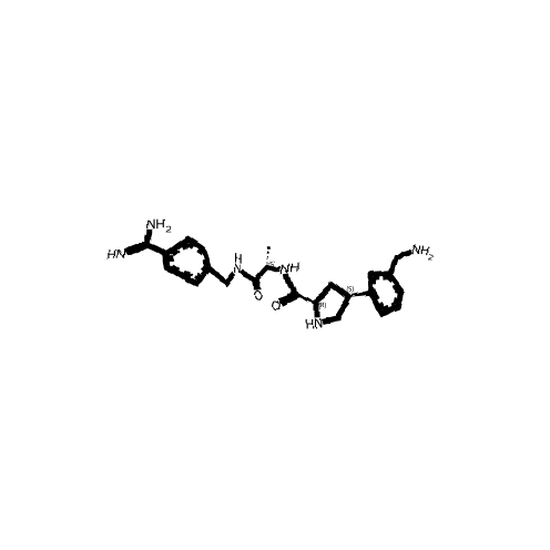 C[C@H](NC(=O)[C@H]1C[C@@H](c2cccc(CN)c2)CN1)C(=O)NCc1ccc(C(=N)N)cc1